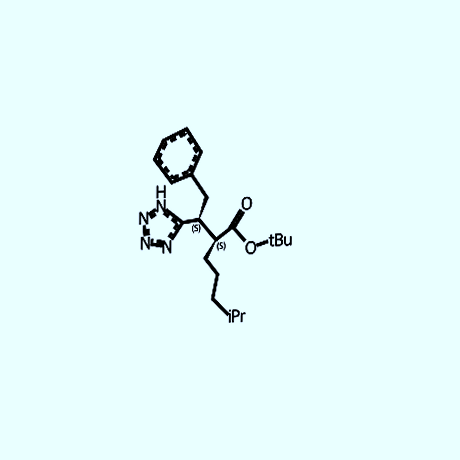 CC(C)CCC[C@H](C(=O)OC(C)(C)C)[C@H](Cc1ccccc1)c1nnn[nH]1